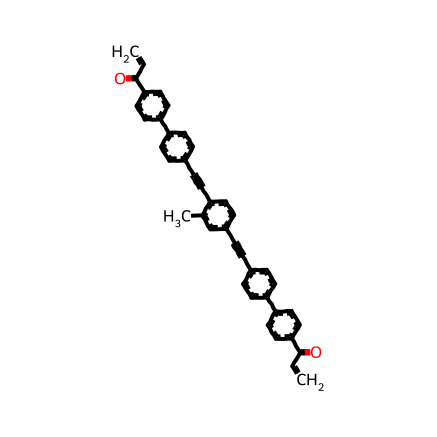 C=CC(=O)c1ccc(-c2ccc(C#Cc3ccc(C#Cc4ccc(-c5ccc(C(=O)C=C)cc5)cc4)c(C)c3)cc2)cc1